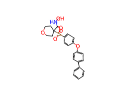 O=C(NO)C1(S(=O)(=O)c2ccc(Oc3ccc(-c4ccccc4)cc3)cc2)CCOCC1